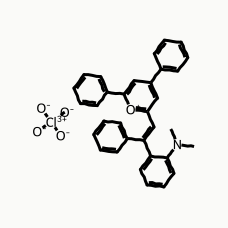 CN(C)c1ccccc1/C(=C/c1cc(-c2ccccc2)cc(-c2ccccc2)[o+]1)c1ccccc1.[O-][Cl+3]([O-])([O-])[O-]